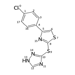 Clc1ccc(-c2csc(Sc3nc[nH]n3)n2)cc1